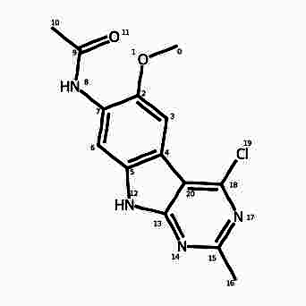 COc1cc2c(cc1NC(C)=O)[nH]c1nc(C)nc(Cl)c12